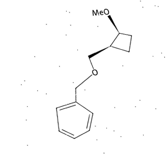 CO[C@H]1CC[C@H]1COCc1ccccc1